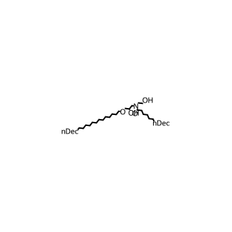 CCCCCCCCCCCCCCCCCCCCCCCOCC(O)CN(CCO)C(=O)CCCCCCCCCCCCCCC